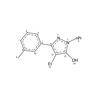 CCCn1nc(-c2cccc(C)c2)c(CC)c1O